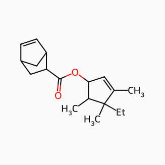 CCC1(C)C(C)=CC(OC(=O)C2CC3C=CC2C3)C1C